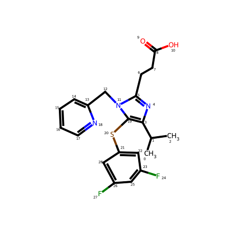 CC(C)c1nc(CCC(=O)O)n(Cc2ccccn2)c1Sc1cc(F)cc(F)c1